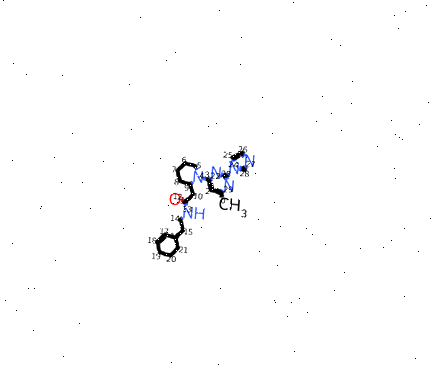 Cc1cc(N2CCCCC2CC(=O)NCCC2C=CCCC2)nc(-n2ccnc2)n1